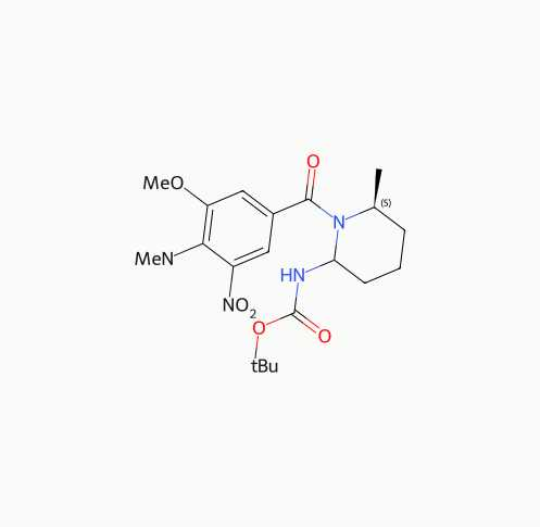 CNc1c(OC)cc(C(=O)N2C(NC(=O)OC(C)(C)C)CCC[C@@H]2C)cc1[N+](=O)[O-]